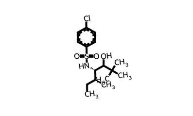 CC[C@H](C)[C@H](NS(=O)(=O)c1ccc(Cl)cc1)C(O)C(C)(C)C